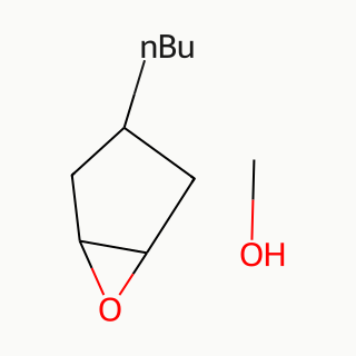 CCCCC1CC2OC2C1.CO